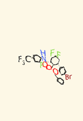 O=C(OCc1ccccc1)[C@@H]1[C@@H](c2ccc(Br)cc2)CC(F)(F)C[C@H]1C(=O)Nc1ccc(C(F)(F)F)cc1F